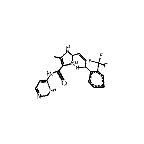 CC1=C(C(=O)NC2=CC=NCN2)N2NC(c3ccccc3C(F)(F)F)C=CC2N1